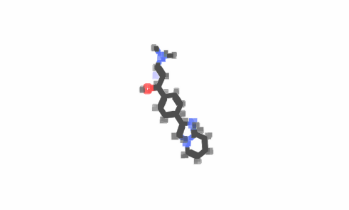 CN(C)/C=C/C(=O)c1ccc(-c2cn3ccccc3n2)cc1